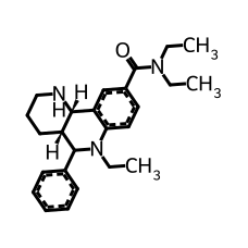 CCN(CC)C(=O)c1ccc2c(c1)[C@H]1NCCC[C@H]1C(c1ccccc1)N2CC